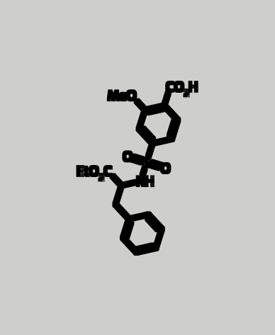 CCOC(=O)C(Cc1ccccc1)NS(=O)(=O)c1ccc(C(=O)O)c(OC)c1